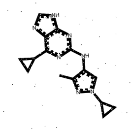 Cc1nn(C2CC2)cc1Nc1nc(C2CC2)c2nc[nH]c2n1